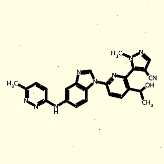 Cc1ccc(Nc2ccc3c(c2)ncn3-c2ccc(C(C)O)c(-c3c(C#N)cnn3C)n2)nn1